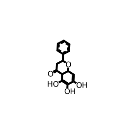 O=C1CC(c2ccccc2)OC2C=C(O)C(O)=C(O)C12